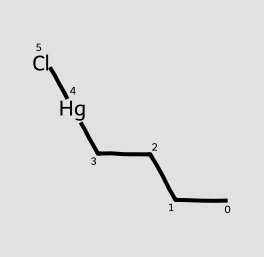 CCC[CH2][Hg][Cl]